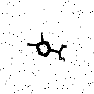 CB(O)c1ccc(F)c(F)c1